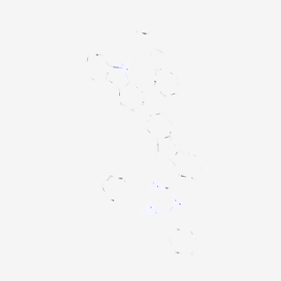 C1=Cc2sc3ccc(-c4ccc5sc6c(C7=NC(c8ccccc8)NC(c8ccccc8)=N7)cccc6c5c4)cc3c2C(n2c3ccccc3c3ccccc32)C1